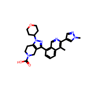 Cc1c(-c2cnn(C)c2)ncc2c(-c3nn(C4CCOCC4)c4c3CN(C(=O)O)CC4)cccc12